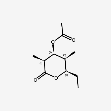 CC[C@H]1OC(=O)[C@@H](C)[C@@H](OC(C)=O)[C@H]1C